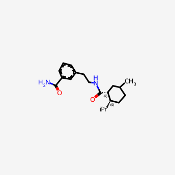 CC1CC[C@@H](C(C)C)[C@H](C(=O)NCCc2cccc(C(N)=O)c2)C1